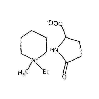 CC[N+]1(C)CCCCC1.O=C1CCC(C(=O)[O-])N1